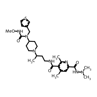 CONC(=O)N(Cc1ccsc1)C1CCN(C(C)CCNC(=O)c2c(C)cc(C(=O)NN(C)C)nc2C)CC1